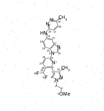 COCCn1cc(-c2nc(-n3cnc4cc(Nc5ccc(C)nn5)ccc43)ccc2C(F)F)c(C)n1